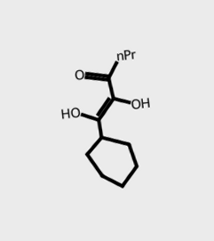 CCCC(=O)C(O)=C(O)C1CCCCC1